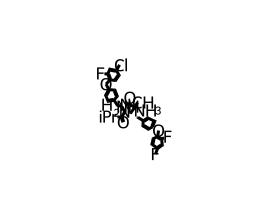 CC(C)C(=O)N(CC(C)(NCc1ccc(Oc2ccc(F)cc2F)cc1)C(N)=O)NCc1ccc(Oc2ccc(Cl)cc2F)cc1